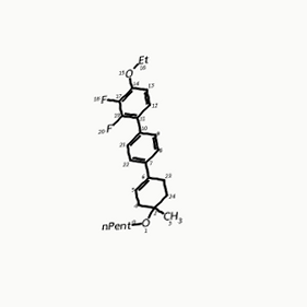 CCCCCOC1(C)CC=C(c2ccc(-c3ccc(OCC)c(F)c3F)cc2)CC1